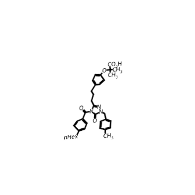 CCCCCCc1ccc(C(=O)n2c(CCCc3ccc(OC(C)(C)C(=O)O)cc3)nn(Cc3ccc(C)cc3)c2=O)cc1